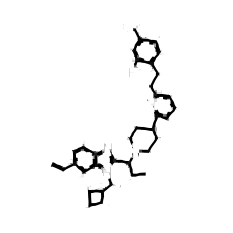 C=Cc1ccc2nc(C(CC)N3CCC(c4cccc(CCc5ccc(Cl)cc5F)n4)CC3)n(CC3CCC3)c2c1